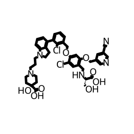 N#Cc1cncc(COc2cc(OCc3cccc(-c4cccc5c4CCN5CCCN4CCC(O)(C(=O)O)CC4)c3Cl)c(Cl)cc2CN[C@@H](CO)C(=O)O)c1